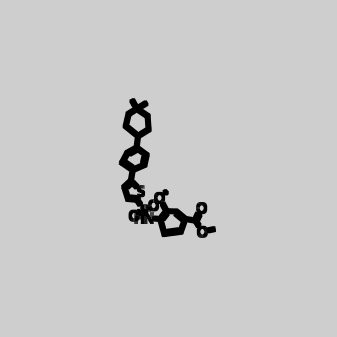 COC(=O)c1ccc(NS(=O)(=O)c2ccc(-c3ccc(C4CCC(C)(C)CC4)cc3)s2)c(OC)c1